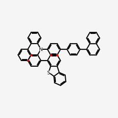 c1ccc(-c2ccccc2N(c2ccc(-c3ccc(-c4cccc5ccccc45)cc3)cc2)c2ccccc2-c2cccc3c2sc2ccccc23)cc1